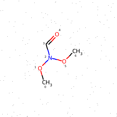 CON([C]=O)OC